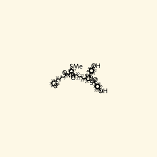 CSC1=CC(NC(=O)CCCCC2CCCSS2)=C(C(=O)CCCCC(CCSC(=O)c2ccc(O)cc2)SC(=O)c2ccc(O)cc2)C1